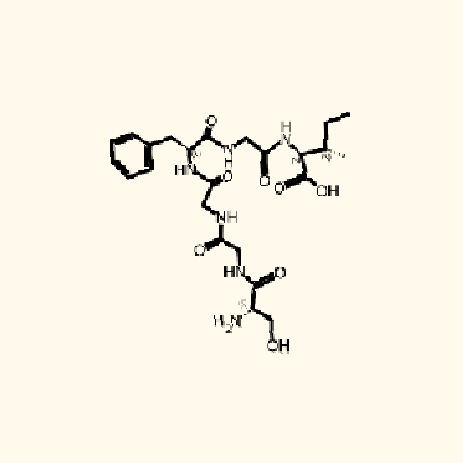 CC[C@H](C)[C@H](NC(=O)CNC(=O)[C@H](Cc1ccccc1)NC(=O)CNC(=O)CNC(=O)[C@@H](N)CO)C(=O)O